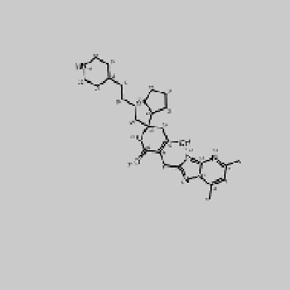 Cc1cc(C)n2nc(CC3=C(O)CC(CCCCC4CCNCC4)(C4CCCC4)OC3=O)nc2n1